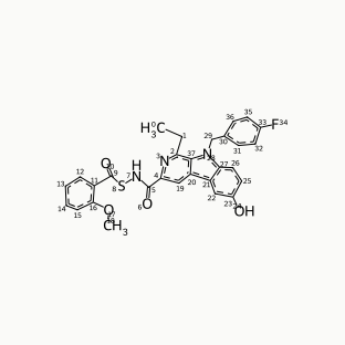 CCc1nc(C(=O)NSC(=O)c2ccccc2OC)cc2c3cc(O)ccc3n(Cc3ccc(F)cc3)c12